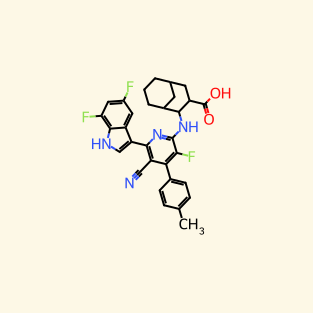 Cc1ccc(-c2c(F)c(NC3C4CCCC(C4)CC3C(=O)O)nc(-c3c[nH]c4c(F)cc(F)cc34)c2C#N)cc1